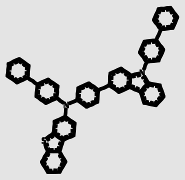 c1ccc(-c2ccc(N(c3ccc(-c4ccc5c(c4)c4ccccc4n5-c4ccc(-c5ccccc5)cc4)cc3)c3ccc4c(c3)sc3ccccc34)cc2)cc1